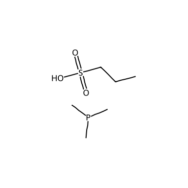 CCCS(=O)(=O)O.CP(C)C